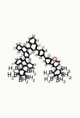 Bc1c(B)c(B)c(-c2ccc3oc4cc(-c5ccc(-c6cc(-c7cc8ccccc8c8cc(-c9c%10ccccc%10c(-c%10c(B)c(B)c(B)c(B)c%10B)c%10ccccc9%10)ccc78)c7ccccc7c6)cc5)ccc4c3c2)c(B)c1B